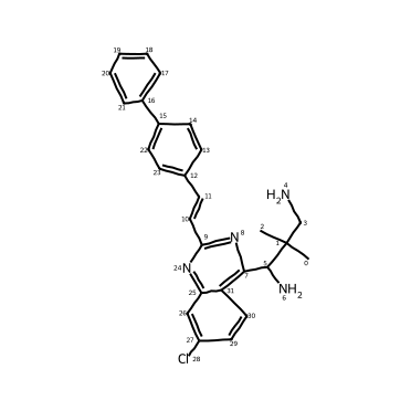 CC(C)(CN)C(N)c1nc(/C=C/c2ccc(-c3ccccc3)cc2)nc2cc(Cl)ccc12